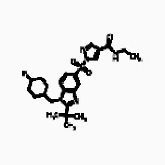 CCNC(=O)c1cnn(S(=O)(=O)c2ccc3c(c2)nc(C(C)(C)C)n3CC2CCC(F)CC2)c1